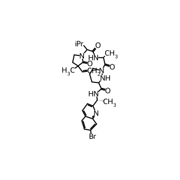 C=CC1(C)CCN(C(C(=O)N[C@@H](C)C(=O)N2CCCC(C(=O)N[C@H](C)c3ccc4ccc(Br)cc4n3)N2)C(C)C)C1=O